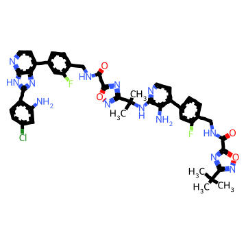 CC(C)(C)c1noc(C(=O)NCc2ccc(-c3ccnc(NC(C)(C)c4noc(C(=O)NCc5ccc(-c6ccnc7[nH]c(-c8ccc(Cl)cc8N)nc67)cc5F)n4)c3N)cc2F)n1